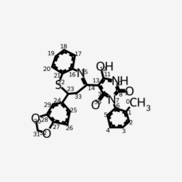 Cc1ccccc1-n1c(=O)[nH]c(O)c(C2=Nc3ccccc3SC(c3ccc4c(c3)OCO4)C2)c1=O